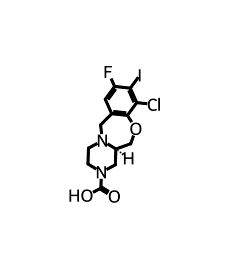 O=C(O)N1CCN2Cc3cc(F)c(I)c(Cl)c3OC[C@H]2C1